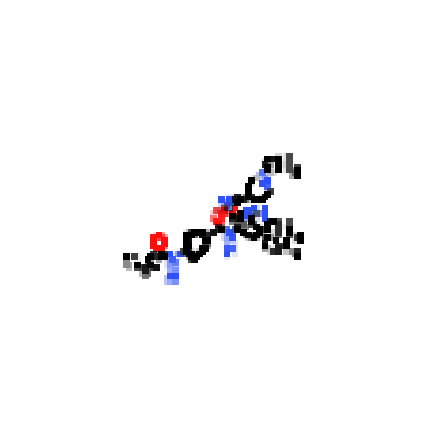 CC(=O)Nc1ccc(C(=O)NC(CC(C)(C)C)C(=O)NC2(C#N)CCN(C)CC2)cc1